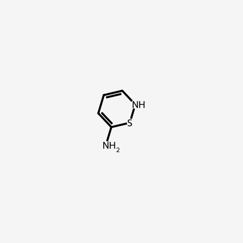 NC1=CC=CNS1